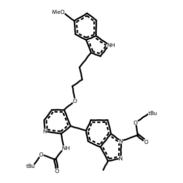 COc1ccc2[nH]cc(CCCOc3ccnc(NC(=O)OC(C)(C)C)c3-c3ccc4c(c3)c(C)nn4C(=O)OC(C)(C)C)c2c1